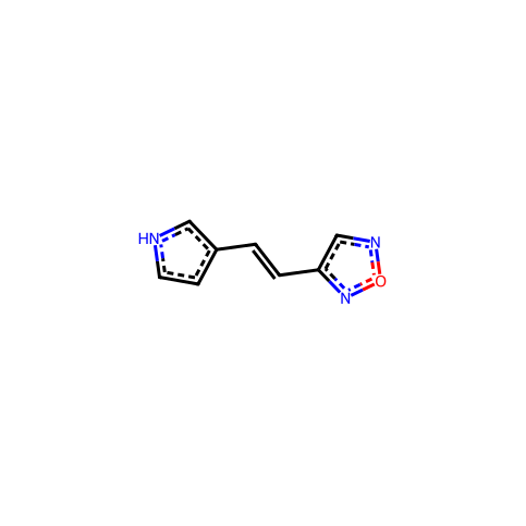 C(=Cc1cnon1)c1cc[nH]c1